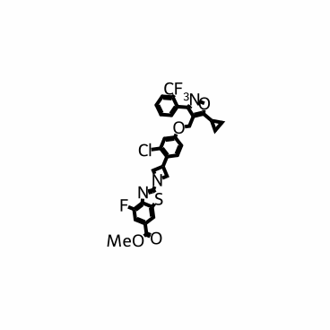 COC(=O)c1cc(F)c2nc(N3CC(c4ccc(OCc5c(-c6ccccc6C(F)(F)F)noc5C5CC5)cc4Cl)C3)sc2c1